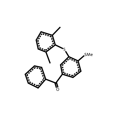 CSc1ccc(C(=O)c2ccccc2)cc1Sc1c(C)cccc1C